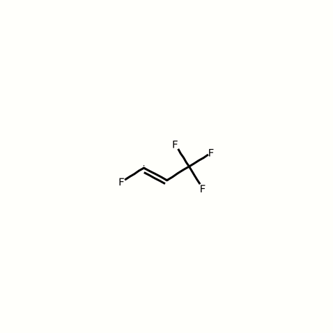 F/[C]=C/C(F)(F)F